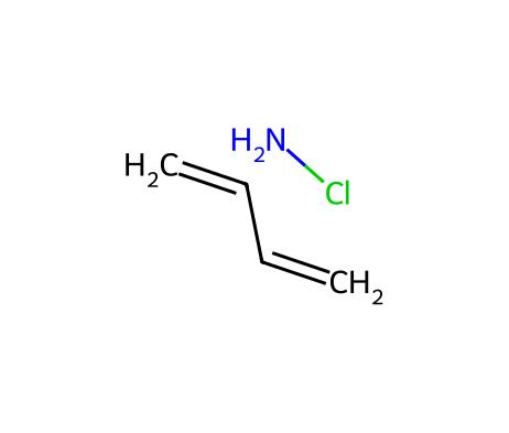 C=CC=C.NCl